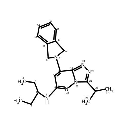 CCC(CC)Nc1cc(N2Cc3ccccc3C2)c2nnc(C(C)C)n2n1